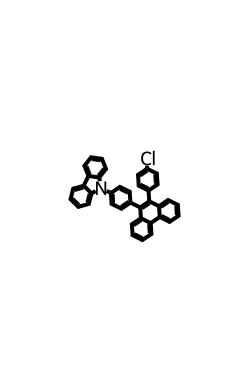 Clc1ccc(-c2c(-c3ccc(-n4c5ccccc5c5ccccc54)cc3)c3ccccc3c3ccccc23)cc1